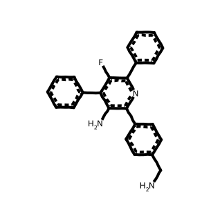 NCc1ccc(-c2nc(-c3ccccc3)c(F)c(-c3ccccc3)c2N)cc1